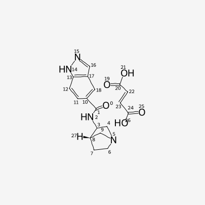 O=C(NC1CN2CC[C@H]1C2)c1ccc2[nH]ncc2c1.O=C(O)/C=C/C(=O)O